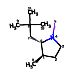 C[C@@H]1CCN(I)[C@H]1CC(C)(C)C